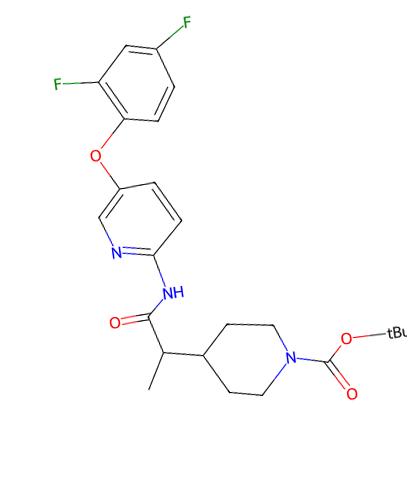 CC(C(=O)Nc1ccc(Oc2ccc(F)cc2F)cn1)C1CCN(C(=O)OC(C)(C)C)CC1